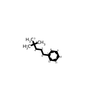 CC(C)(C)C[CH]Cc1ccccc1